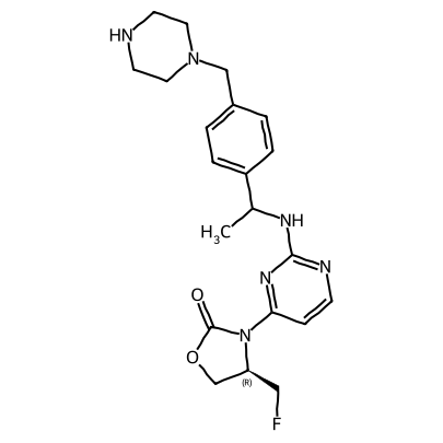 CC(Nc1nccc(N2C(=O)OC[C@@H]2CF)n1)c1ccc(CN2CCNCC2)cc1